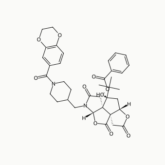 CC(C)(C)[C@]1(O)C[C@@H]2OC(=O)C[C@@]23C(=O)O[C@@H]2N(CC4CCN(C(=O)c5ccc6c(c5)OCCO6)CC4)C(=O)[C@H](OC(=O)c4ccccc4)[C@]213